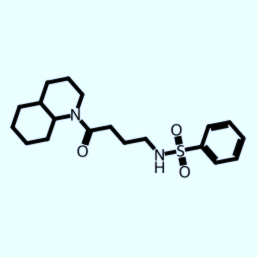 O=C(CCCNS(=O)(=O)c1ccccc1)N1CCCC2CCCCC21